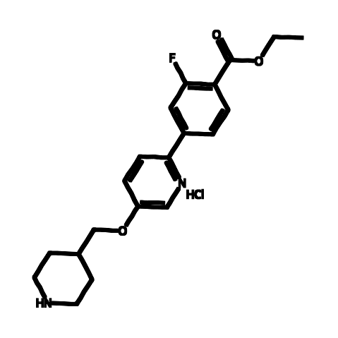 CCOC(=O)c1ccc(-c2ccc(OCC3CCNCC3)cn2)cc1F.Cl